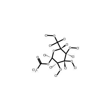 O=C(O[C@@]1(Cl)O[C@](Cl)(C(Cl)(Cl)OCl)[C@@](Cl)(OCl)[C@](Cl)(OCl)[C@@]1(Cl)OCl)C(Cl)(Cl)Cl